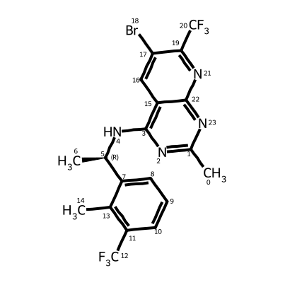 Cc1nc(N[C@H](C)c2cccc(C(F)(F)F)c2C)c2cc(Br)c(C(F)(F)F)nc2n1